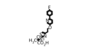 CC(C)(Sc1nc(CCOc2ccc(-c3ccc(F)cc3)nc2)cs1)C(=O)O